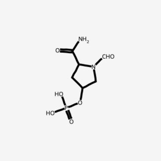 NC(=O)C1CC(OP(=O)(O)O)CN1C=O